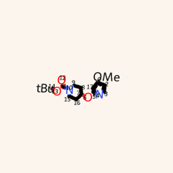 COc1ccnc(OC2CCN(C(=O)OC(C)(C)C)CC2)c1